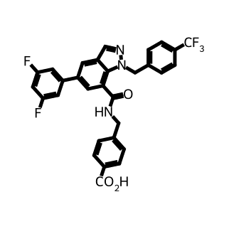 O=C(O)c1ccc(CNC(=O)c2cc(-c3cc(F)cc(F)c3)cc3cnn(Cc4ccc(C(F)(F)F)cc4)c23)cc1